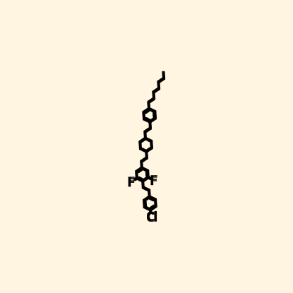 CCCCCCCc1ccc(CCC2CCC(CCc3cc(F)c(CCc4ccc(Cl)cc4)c(F)c3)CC2)cc1